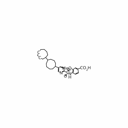 COc1cc(C(=O)O)ccc1NS(=O)(=O)c1ccc(C2CCCCC(C3CCCCCCCC3)CCC2)cn1